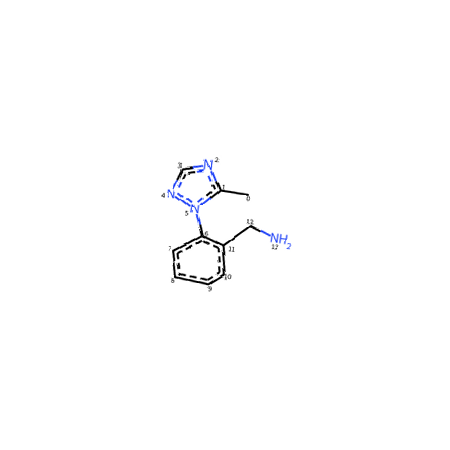 Cc1ncnn1-c1ccccc1CN